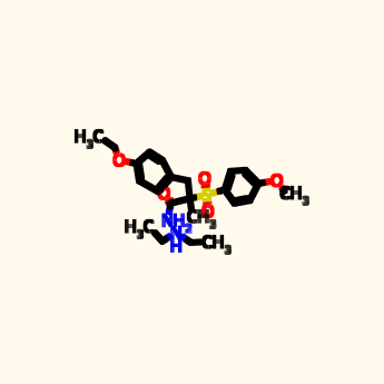 CCNCC.CCOc1ccc(CC(C)(C(N)=O)S(=O)(=O)c2ccc(OC)cc2)cc1